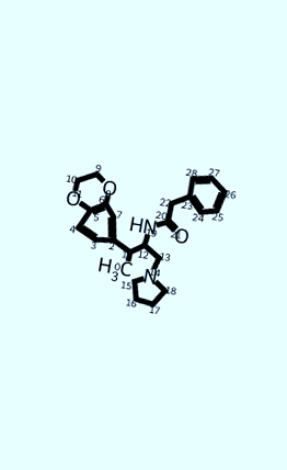 CC(c1ccc2c(c1)OCCO2)C(CN1CCCC1)NC(=O)Cc1ccccc1